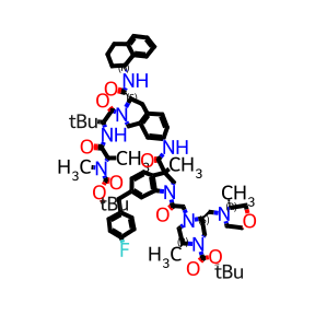 CC(C(=O)NC(C(=O)N1Cc2cc(NC(=O)C3(C)CN(C(=O)CN4C[C@@H](C)N(C(=O)OC(C)(C)C)C[C@@H]4CN4CCOC[C@H]4C)c4cc(Cc5ccc(F)cc5)ccc43)ccc2C[C@H]1C(=O)N[C@@H]1CCCc2ccccc21)C(C)(C)C)N(C)C(=O)OC(C)(C)C